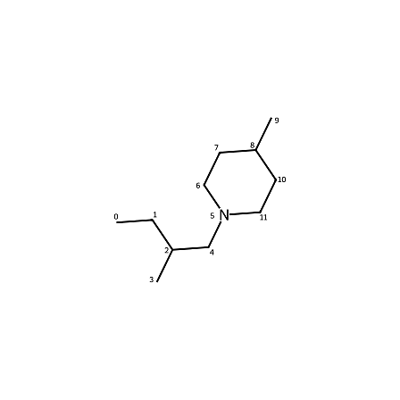 CCC(C)CN1CCC(C)CC1